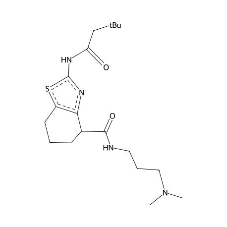 CN(C)CCCNC(=O)C1CCCc2sc(NC(=O)CC(C)(C)C)nc21